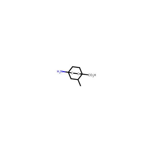 CC1CC2(N)CCC1(C(=O)O)CC2